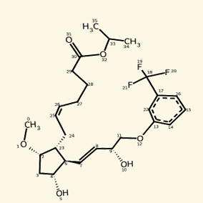 CO[C@H]1C[C@@H](O)[C@H](/C=C/[C@@H](O)COc2cccc(C(F)(F)F)c2)[C@H]1C/C=C\CCCC(=O)OC(C)C